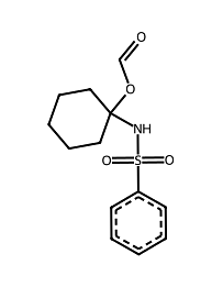 O=COC1(NS(=O)(=O)c2ccccc2)CCCCC1